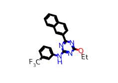 CCOc1nc(Nc2cccc(C(F)(F)F)c2)nc(-c2ccc3ccccc3c2)n1